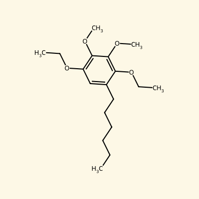 CCCCCCc1cc(OCC)c(OC)c(OC)c1OCC